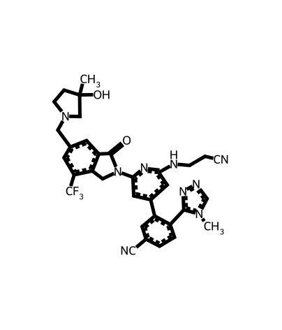 Cn1cnnc1-c1ccc(C#N)cc1-c1cc(NCCC#N)nc(N2Cc3c(cc(CN4CCC(C)(O)C4)cc3C(F)(F)F)C2=O)c1